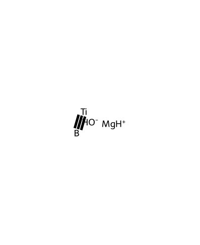 [B]#[Ti].[MgH+].[OH-]